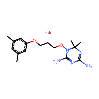 Br.Cc1cc(C)cc(OCCCON2C(N)=NC(N)=NC2(C)C)c1